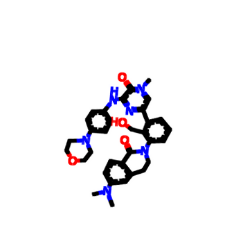 CN(C)c1ccc2c(c1)CCN(c1cccc(-c3cn(C)c(=O)c(Nc4ccc(N5CCOCC5)cc4)n3)c1CO)C2=O